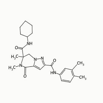 Cc1ccc(NC(=O)c2cc3n(n2)CC(C)(C(=O)NC2CCCCC2)N(C)C3=O)cc1C